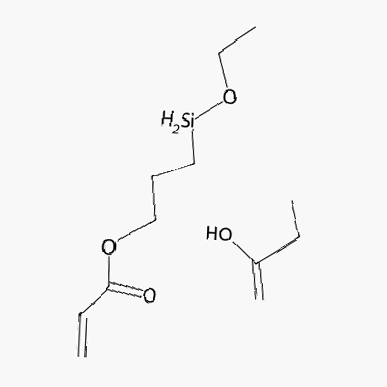 C=C(O)CC.C=CC(=O)OCCC[SiH2]OCC